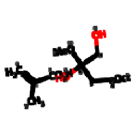 C=C(C)C(=O)O.CCCCCCCCCC(O)(CO)OC